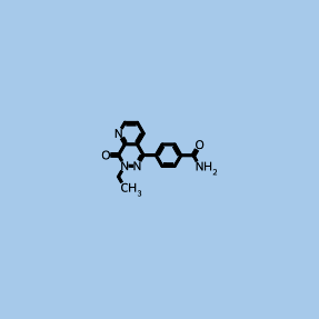 CCn1nc(-c2ccc(C(N)=O)cc2)c2cccnc2c1=O